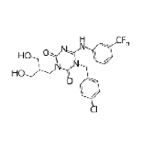 O=c1nc(Nc2cccc(C(F)(F)F)c2)n(Cc2ccc(Cl)cc2)c(=O)n1CC(CO)CO